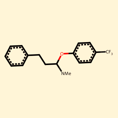 CNC(CCc1ccccc1)Oc1ccc(C(F)(F)F)cc1